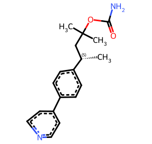 C[C@@H](CC(C)(C)OC(N)=O)c1ccc(-c2ccncc2)cc1